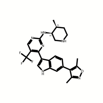 Cc1noc(C)c1-c1ccc2c(-c3nc(N[C@@H]4CNCC[C@@H]4C)ncc3C(F)(F)F)c[nH]c2c1